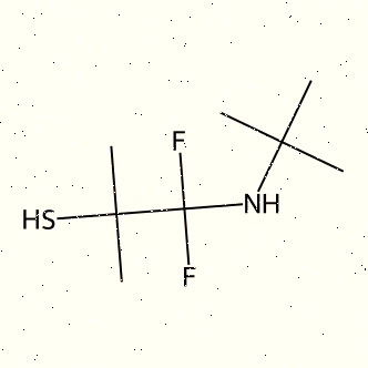 CC(C)(C)NC(F)(F)C(C)(C)S